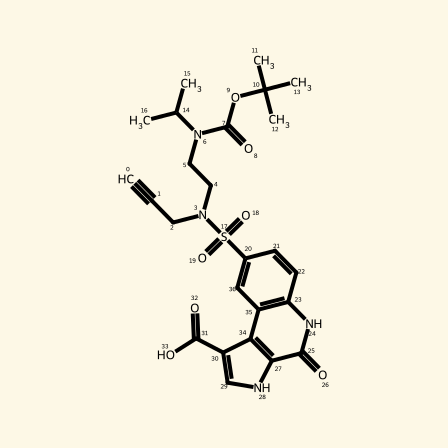 C#CCN(CCN(C(=O)OC(C)(C)C)C(C)C)S(=O)(=O)c1ccc2[nH]c(=O)c3[nH]cc(C(=O)O)c3c2c1